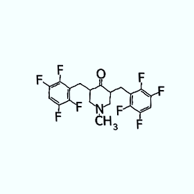 CN1CC(Cc2c(F)c(F)cc(F)c2F)C(=O)C(Cc2c(F)c(F)cc(F)c2F)C1